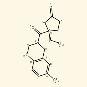 O=C1CC[C@](CC(F)(F)F)(C(=O)N2COc3ccc(C(F)(F)F)cc3C2)C1